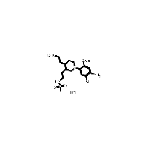 COc1cc(N)c(Cl)cc1N1CCC(CCC=O)C(CCNS(C)(=O)=O)C1.Cl